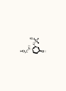 CC(C)(C)[Si](C)(C)O[C@@H]1C[C@@H](O)CC[C@@H]1NC(=O)O